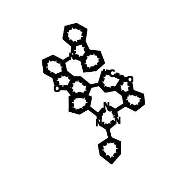 c1ccc(-c2nc(-c3ccccc3)nc(-c3cccc4oc5ccc(-c6ccc7oc8cccc(-n9c%10ccccc%10c%10ccccc%109)c8c7c6)cc5c34)n2)cc1